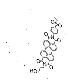 C=CS(=O)(=O)c1ccc(N2C(=O)c3ccc4c5ccc6c7c(ccc(c8ccc(c3c48)C2=O)c75)C(=O)N(CCCO)C6=O)cc1